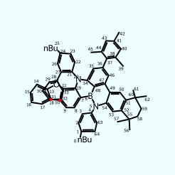 CCCCc1ccc(N2B3c4ccc5c(oc6ccccc65)c4N(c4ccc(CCCC)cc4-c4ccccc4)c4cc(-c5c(C)cc(C)cc5C)cc(c43)-c3cc4c(cc32)C(C)(C)CCC4(C)C)cc1